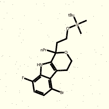 CCCC1(CCO[Si](C)(C)C(C)(C)C)OCCc2c1[nH]c1c(F)ccc(Br)c21